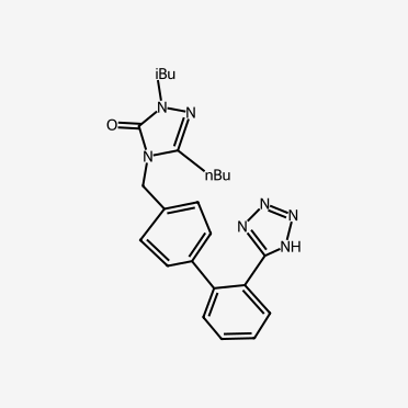 CCCCc1nn(C(C)CC)c(=O)n1Cc1ccc(-c2ccccc2-c2nnn[nH]2)cc1